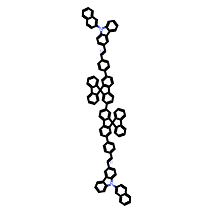 C(=C\c1ccc2c(c1)c1ccccc1n2-c1ccc2ccccc2c1)/c1ccc(-c2ccc3c(c2)C2(c4ccccc4-c4ccccc42)c2cc(-c4ccc5c(c4)C4(c6ccccc6-c6ccccc64)c4cc(-c6ccc(/C=C/c7ccc8c(c7)c7ccccc7n8-c7ccc8ccccc8c7)cc6)ccc4-5)ccc2-3)cc1